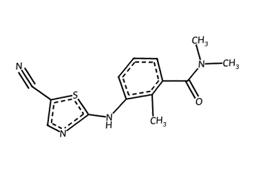 Cc1c(Nc2ncc(C#N)s2)cccc1C(=O)N(C)C